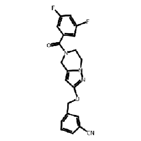 N#Cc1cccc(COc2cc3n(n2)CCN(C(=O)c2cc(F)cc(F)c2)C3)c1